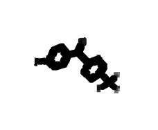 O=C(c1ccc(F)cc1)c1ccc(C(F)(F)F)cc1